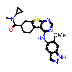 COc1cc2[nH]ncc2cc1Nc1ncnc2sc3c(c12)CCC(C(=O)N(C)C1CC1)C3